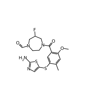 COc1cc(C)c(Sc2cnc(N)s2)cc1C(=O)N1CCN(C=O)CC(F)C1